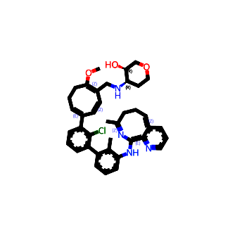 CO/C1=C(CN[C@@H]2CCOC[C@@H]2O)/C=C\C(c2cccc(-c3cccc(NC4=c5\nccc\c5=C\CC/C(C)=N\4)c3C)c2Cl)=C/CC1